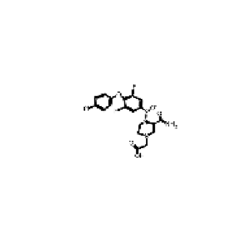 NC(=O)[C@H]1CN(CC(=O)O)CCN1[S+]([O-])c1cc(F)c(Oc2ccc(Cl)cc2)c(F)c1